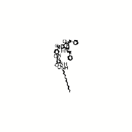 CCCCCCCCCCCCCNC(=O)N[C@H]1CN(c2nc3cc(C(=O)N4CC(C(=O)N[C@H]5C[C@@H]5c5ccccc5)C(C(=O)N[C@H]5C[C@@H]5c5ccccc5)C4)ccc3o2)C[C@@H]1OC